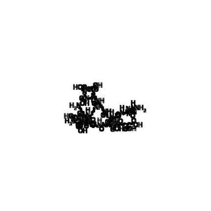 NCCCCC(NC(=O)[C@H](CC(=O)O)C([SiH3])NC(=O)[C@H](CC(=O)O)NC(=O)Cc1ccc(CNC(=O)NCCCC[C@H](CCC(=O)CC[C@@H](CCC(=O)O)C(=O)O)C(=O)O)cc1)C(=O)N[C@@H](CCCCNC(=O)C(CCCCNC(=O)CC[C@H](NC(=O)c1ccc(NCc2cnc3[nH]c(N)nc(=O)c3n2)cc1)C(=O)O)NC(=O)CN1CCN(CC(=O)O)CCN(CC(=O)O)CCN(CC(=O)O)CC1)C(N)=O